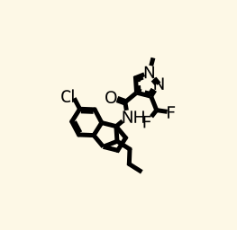 CCCC1C2CCC1(NC(=O)c1cn(C)nc1C(F)F)C1C=C(Cl)C=CC21